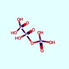 O=P(O)(O)OP(=O)(O)P(=O)(O)O